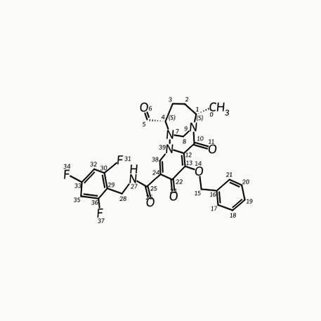 C[C@H]1CC[C@@H](C=O)N2CN1C(=O)c1c(OCc3ccccc3)c(=O)c(C(=O)NCc3c(F)cc(F)cc3F)cn12